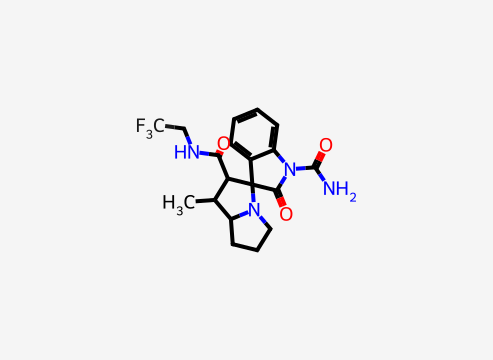 CC1C2CCCN2C2(C(=O)N(C(N)=O)c3ccccc32)C1C(=O)NCC(F)(F)F